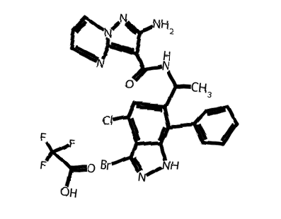 CC(NC(=O)c1c(N)nn2cccnc12)c1cc(Cl)c2c(Br)n[nH]c2c1-c1ccccc1.O=C(O)C(F)(F)F